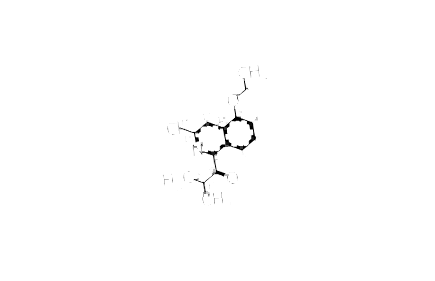 CCOc1cccc2c(C(=O)C(C)C)nc(Cl)cc12